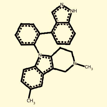 Cc1ccc2c(c1)c1c(n2-c2ccccc2-c2cccc3[nH]ncc23)CCN(C)C1